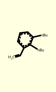 C=Cc1cccc(CCCC)c1CCCC